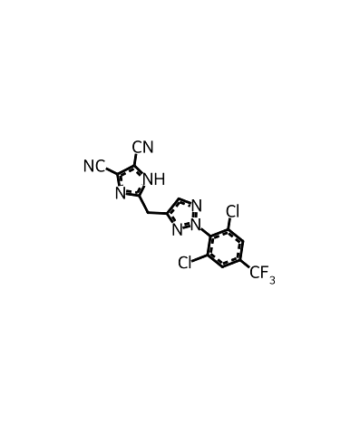 N#Cc1nc(Cc2cnn(-c3c(Cl)cc(C(F)(F)F)cc3Cl)n2)[nH]c1C#N